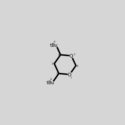 CC(C)(C)C1CC(C(C)(C)C)OCO1